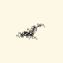 C=C(C)[C@@H]1CC[C@]2(C(=O)N[C@@H]3C[C@H](C(=O)NCCC(=O)OC)C3(C)C)CC[C@]3(C)[C@H](CC[C@@H]4[C@@]5(C)CC[C@H](OC(C)=O)C(C)(C)[C@@H]5CC[C@]43C)[C@@H]12